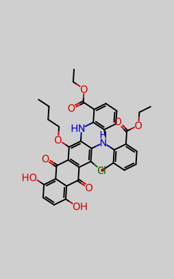 CCCCOc1c(Nc2c(C)cccc2C(=O)OCC)c(Nc2c(C)cccc2C(=O)OCC)c(Cl)c2c1C(=O)c1c(O)ccc(O)c1C2=O